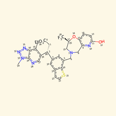 CCOC(=O)C[C@H](c1cc(CN2Cc3nc(O)ccc3O[C@H](C(F)(F)F)C2)c2sccc2c1)c1cnc2c(nnn2C)c1C